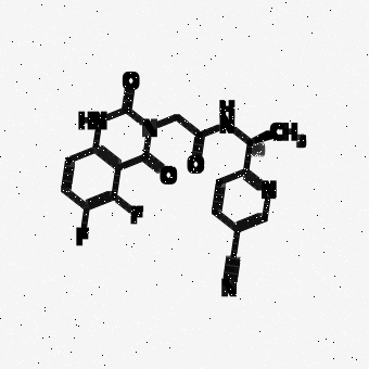 C[C@H](NC(=O)Cn1c(=O)[nH]c2ccc(F)c(F)c2c1=O)c1ccc(C#N)cn1